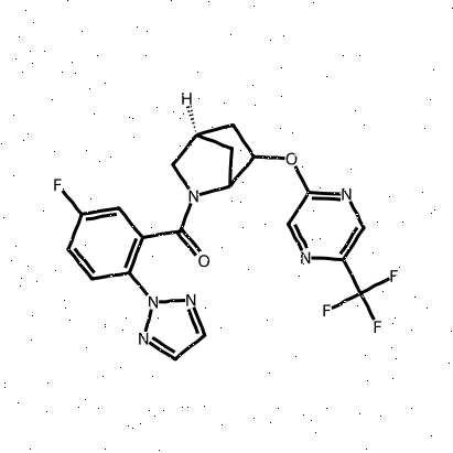 O=C(c1cc(F)ccc1-n1nccn1)N1C[C@H]2CC(Oc3cnc(C(F)(F)F)cn3)C1C2